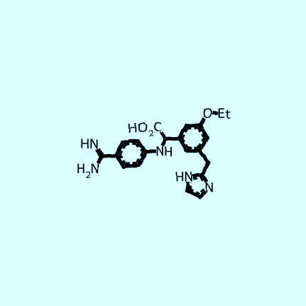 CCOc1cc(Cc2ncc[nH]2)cc(C(Nc2ccc(C(=N)N)cc2)C(=O)O)c1